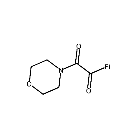 CCC(=O)C(=O)N1CCOCC1